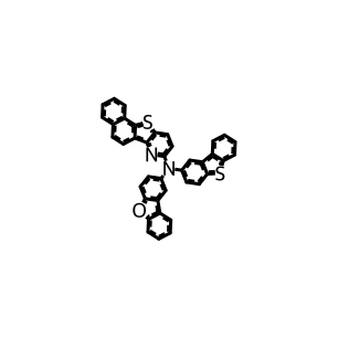 c1ccc2c(c1)ccc1c3nc(N(c4ccc5oc6ccccc6c5c4)c4ccc5sc6ccccc6c5c4)ccc3sc21